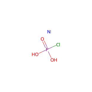 O=P(O)(O)Cl.[N]